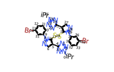 CC(C)n1nnc(-c2cnn(-c3cccc(Br)c3)c2SSc2c(-c3nnn(C(C)C)n3)cnn2-c2cccc(Br)c2)n1